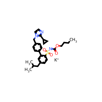 CCCCOC(=O)[N-]S(=O)(=O)c1ccc(CC(C)C)cc1-c1ccc(Cn2ccnc2C2CC2)cc1.[K+]